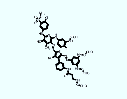 Cc1c(C#N)c(Nc2ccc(Cl)c(S(=O)(=O)ON)c2)nc(Nc2ccc(Cl)c(NS(=O)(=O)O)c2)c1N=Nc1sc(N=Nc2cc(NOC=O)cc(NOC=O)c2)c(-c2cccc(NC(=O)CCNOC=O)c2)c1C#N